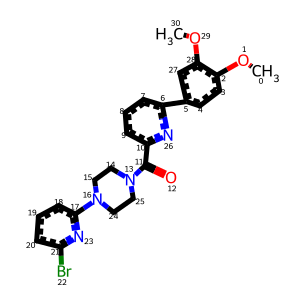 COc1ccc(-c2cccc(C(=O)N3CCN(c4cccc(Br)n4)CC3)n2)cc1OC